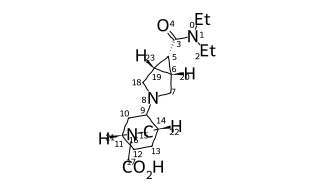 CCN(CC)C(=O)[C@@H]1[C@@H]2CN(C3C[C@H]4CC[C@@H]3CN4C(=O)O)C[C@@H]21